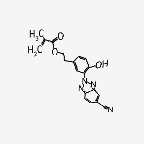 C=C(C)C(=O)OCCc1ccc(O)c(-n2nc3ccc(C#N)cc3n2)c1